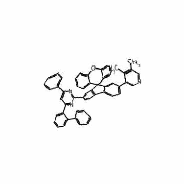 Cc1cncc(-c2ccc3c(c2)C2(c4ccccc4Oc4ccccc42)c2cc(-c4nc(-c5ccccc5)cc(-c5ccccc5-c5ccccc5)n4)ccc2-3)c1C